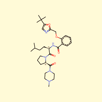 CC(C)CC[C@@H](NC(=O)c1ccccc1OCc1ncc(C(C)(C)C)o1)C(=O)N1CCC[C@@H]1C(=O)N1CCN(C)CC1